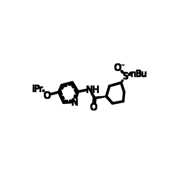 CCCC[S+]([O-])[C@@H]1CCC[C@@H](C(=O)Nc2ccc(OC(C)C)cn2)C1